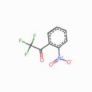 O=C(c1ccccc1[N+](=O)[O-])C(F)(F)F